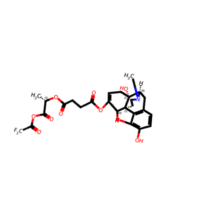 C[C@H](OC(=O)CCC(=O)OC1=CC[C@@]2(O)[C@H]3Cc4ccc(O)c5c4[C@@]2(CCN3C)[C@H]1O5)C(=O)OC(=O)C(F)(F)F